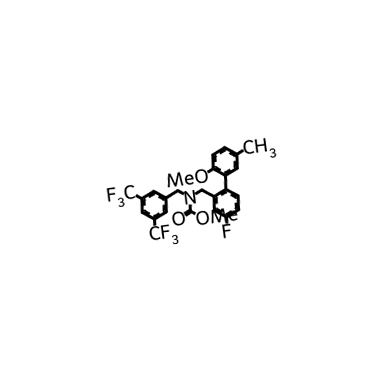 COC(=O)N(Cc1cc(C(F)(F)F)cc(C(F)(F)F)c1)Cc1cc(F)ccc1-c1cc(C)ccc1OC